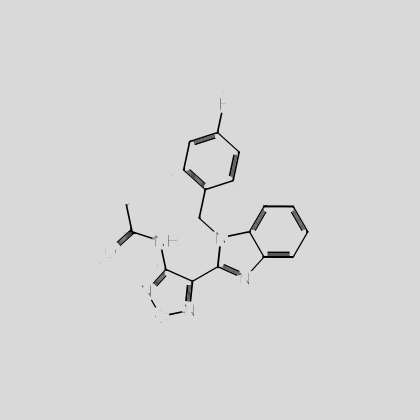 CC(=O)Nc1nonc1-c1nc2ccccc2n1Cc1ccc(F)cc1